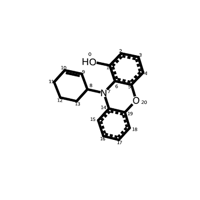 Oc1cccc2c1N(C1C=CCCC1)c1ccccc1O2